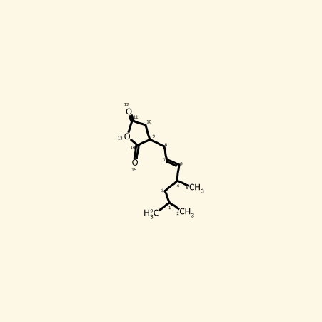 CC(C)CC(C)C=CCC1CC(=O)OC1=O